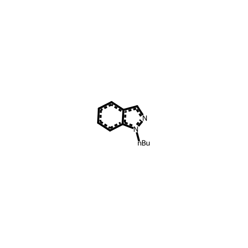 [CH2]CCCn1ncc2ccccc21